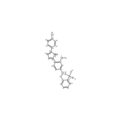 COc1cc(OCc2cccnc2C(F)(F)F)ccc1-c1cnc(-c2ccc(Cl)nc2)[nH]1